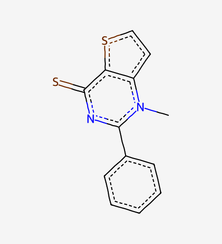 Cn1c(-c2ccccc2)nc(=S)c2sccc21